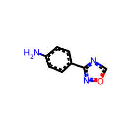 Nc1ccc(-c2ncon2)cc1